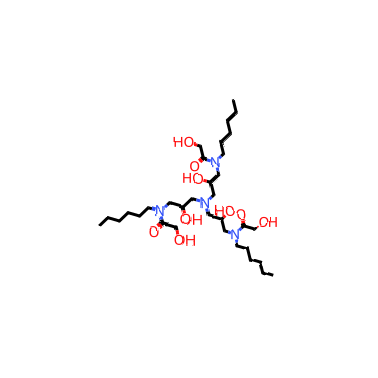 CCCCCCN(CC(O)CN(CC(O)CN(CCCCCC)C(=O)CO)CC(O)CN(CCCCCC)C(=O)CO)C(=O)CO